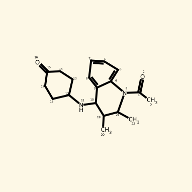 CC(=O)N1c2ccccc2C(NC2CCC(=O)CC2)C(C)C1C